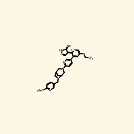 COc1ccc(CN2CC3CC2CN(c2ccc(C4=CC(OCC(F)(F)F)=CN/C4=C4/C=NNC4=N)cn2)C3)cn1